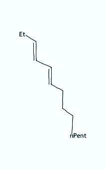 CCC=CC=CCCCCCCCC